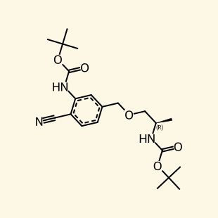 C[C@H](COCc1ccc(C#N)c(NC(=O)OC(C)(C)C)c1)NC(=O)OC(C)(C)C